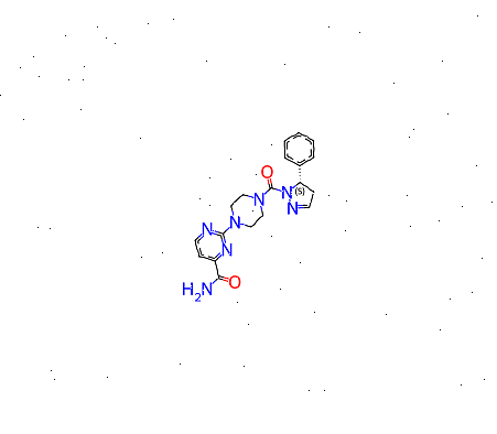 NC(=O)c1ccnc(N2CCN(C(=O)N3N=CC[C@H]3c3ccccc3)CC2)n1